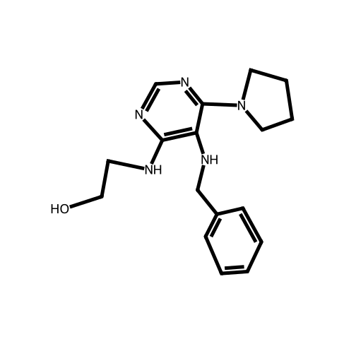 OCCNc1ncnc(N2CCCC2)c1NCc1ccccc1